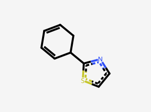 C1=CCC(c2nccs2)C=C1